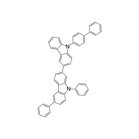 c1ccc(-c2ccc(-n3c4ccccc4c4cc(-c5ccc6c7cc(-c8ccccc8)ccc7n(-c7ccccc7)c6c5)ccc43)cc2)cc1